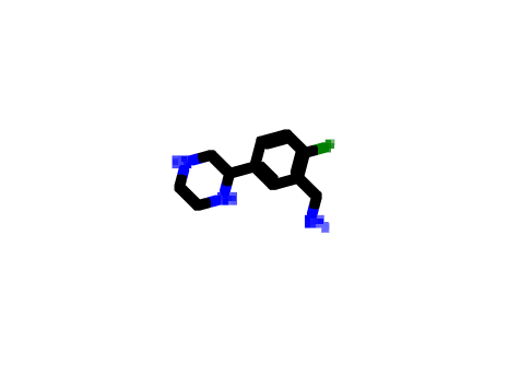 NCc1cc(C2CNCCN2)ccc1F